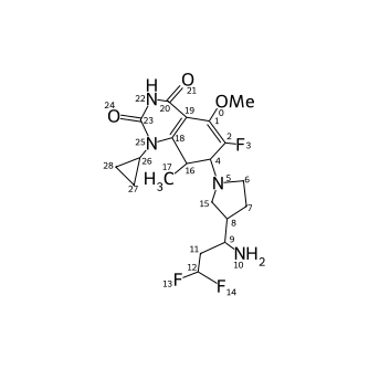 COC1=C(F)C(N2CCC(C(N)CC(F)F)C2)C(C)c2c1c(=O)[nH]c(=O)n2C1CC1